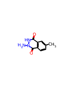 Cc1ccc2c(=O)n(N)[nH]c(=O)c2c1